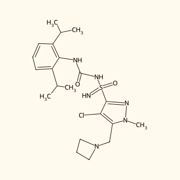 CC(C)c1cccc(C(C)C)c1NC(=O)NS(=N)(=O)c1nn(C)c(CN2CCC2)c1Cl